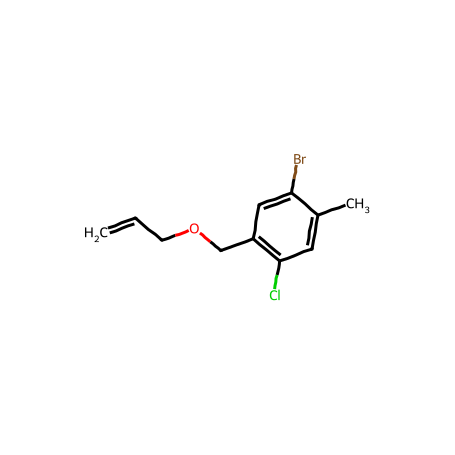 C=CCOCc1cc(Br)c(C)cc1Cl